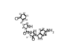 C[C@H](NC(=O)[C@H]1C[C@H](Cc2ccccc2Cl)CN1)C(=O)N[C@@H]1CCc2nc(N)ccc21